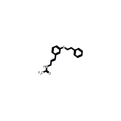 O=C(NC/C=C/c1cccc(SCCc2ccccc2)c1)C(F)(F)F